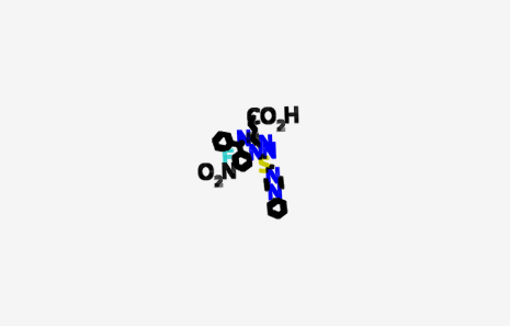 O=C(O)CC[C@@H]1N=C(c2ccccc2F)c2cc([N+](=O)[O-])ccc2-n2c(SCN3CCN(c4ccccc4)CC3)nnc21